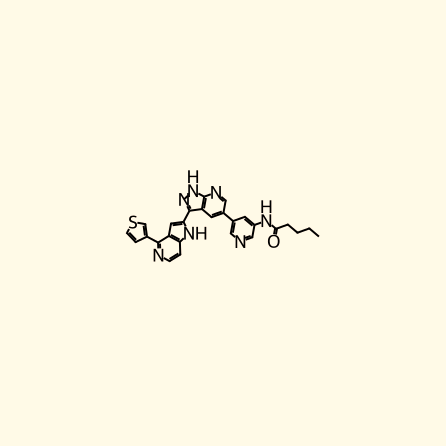 CCCCC(=O)Nc1cncc(-c2cnc3[nH]nc(-c4cc5c(-c6ccsc6)nccc5[nH]4)c3c2)c1